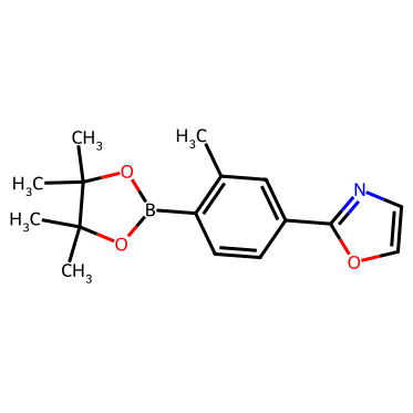 Cc1cc(-c2ncco2)ccc1B1OC(C)(C)C(C)(C)O1